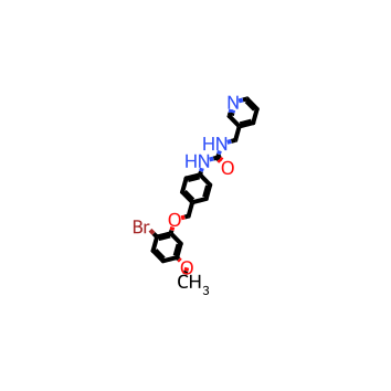 COc1ccc(Br)c(OCc2ccc(NC(=O)NCc3cccnc3)cc2)c1